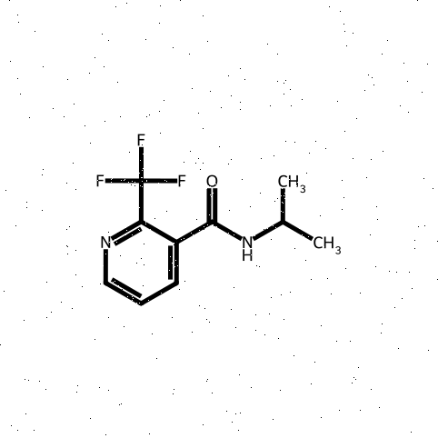 CC(C)NC(=O)c1cccnc1C(F)(F)F